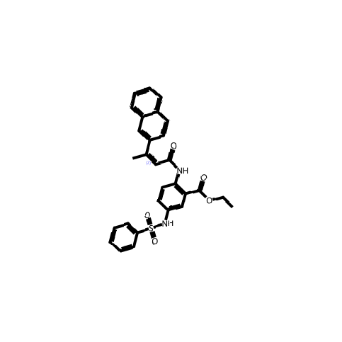 CCOC(=O)c1cc(NS(=O)(=O)c2ccccc2)ccc1NC(=O)/C=C(/C)c1ccc2ccccc2c1